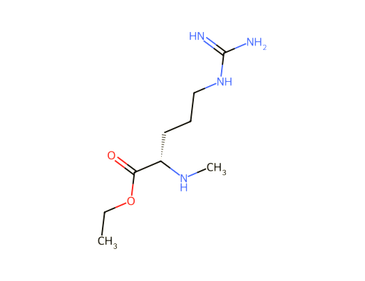 CCOC(=O)[C@H](CCCNC(=N)N)NC